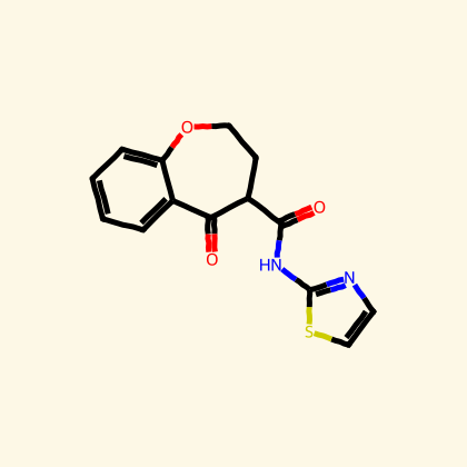 O=C(Nc1nccs1)C1CCOc2ccccc2C1=O